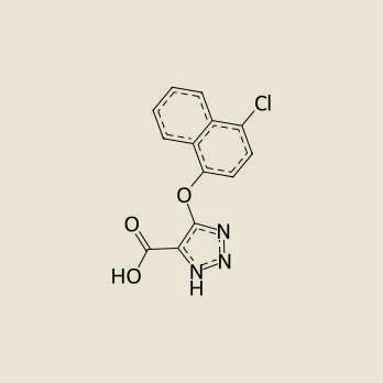 O=C(O)c1[nH]nnc1Oc1ccc(Cl)c2ccccc12